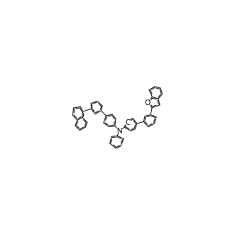 c1ccc(N(c2ccc(-c3cccc(-c4cc5ccccc5o4)c3)cc2)c2ccc(-c3cccc(-c4cccc5ccccc45)c3)cc2)cc1